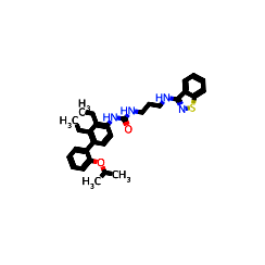 CCc1c(NC(=O)NCCCNc2nsc3ccccc23)ccc(-c2ccccc2OC(C)C)c1CC